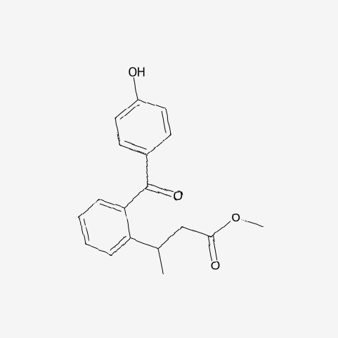 COC(=O)CC(C)c1ccccc1C(=O)c1ccc(O)cc1